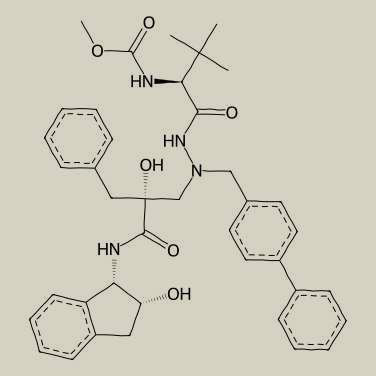 COC(=O)N[C@H](C(=O)NN(Cc1ccc(-c2ccccc2)cc1)C[C@](O)(Cc1ccccc1)C(=O)N[C@H]1c2ccccc2C[C@H]1O)C(C)(C)C